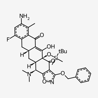 Cc1c(N)cc(F)c2c1C(=O)C1=C(O)[C@]3(O[Si](C)(C)C(C)(C)C)C(=O)c4c(OCc5ccccc5)noc4[C@@H](N(C)C)[C@@H]3C[C@@H]1C2